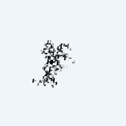 COc1ccc(CN(c2cccc3ccccc23)C(C(=O)NCC2CCN(C(=O)OC(C)(C)C)CC2)C(=O)c2ccc3c(Cl)c[nH]c3c2)c(OC)c1